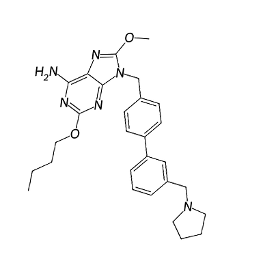 CCCCOc1nc(N)c2nc(OC)n(Cc3ccc(-c4cccc(CN5CCCC5)c4)cc3)c2n1